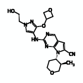 C[C@H]1COCC[C@@H]1n1c(C#N)cc2cnc(Nc3cn(CCO)nc3OC3COC3)nc21